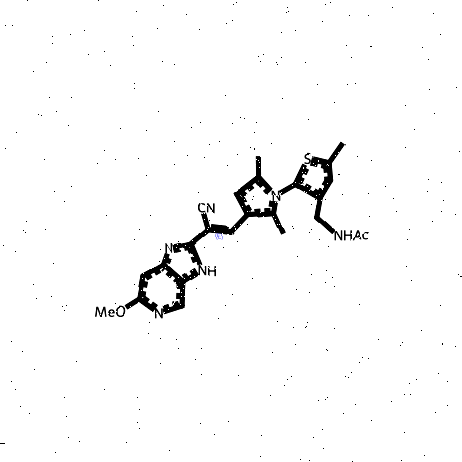 COc1cc2nc(/C(C#N)=C/c3cc(C)n(-c4sc(C)cc4CNC(C)=O)c3C)[nH]c2cn1